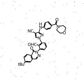 CC(C)(C)c1ccc2c(=O)n(-c3cccc(-n4cc(C#N)c(Nc5ccc(C(=O)N6CCOCC6)cc5)n4)c3C=O)ncc2c1